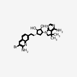 CC1(C)CN([C@@H]2C[C@H](CCc3ccc4cc(Br)c(N)nc4c3)[C@@H](O)[C@H]2O)c2ncnc(N)c21